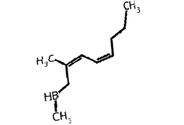 CBC/C(C)=C\C=C/CCC